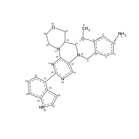 COc1cc(N)ccc1CN1CC2COCCN2c2nc(-c3cccc4[nH]ccc34)ncc21